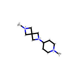 CC(C)N1CCC(N2CC3(CN(C(C)C)C3)C2)CC1